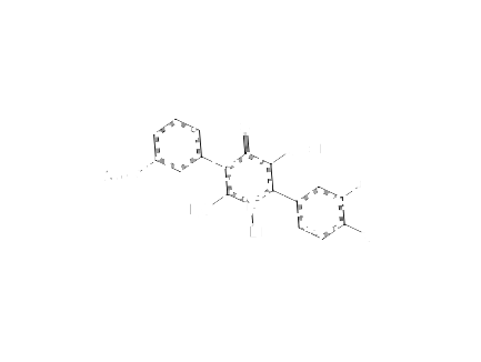 CCn1c(C)c(-c2cccc(SC)c2)c(=O)c(C(=O)O)c1-c1ccc(Cl)c(Cl)c1